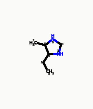 CCC1NCNC1C